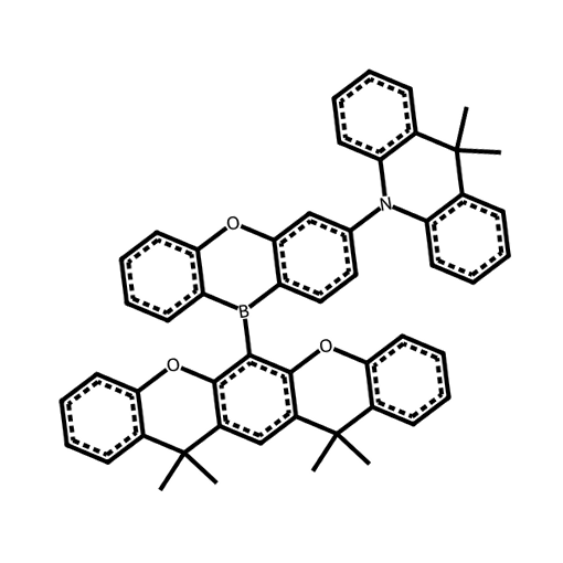 CC1(C)c2ccccc2N(c2ccc3c(c2)Oc2ccccc2B3c2c3c(cc4c2Oc2ccccc2C4(C)C)C(C)(C)c2ccccc2O3)c2ccccc21